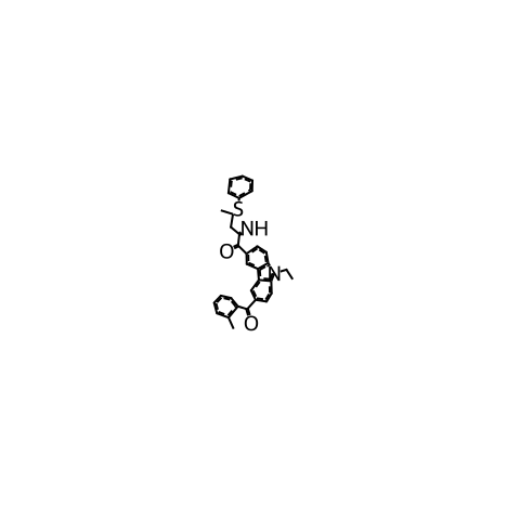 CCn1c2ccc(C(=O)C(=N)CC(C)Sc3ccccc3)cc2c2cc(C(=O)c3ccccc3C)ccc21